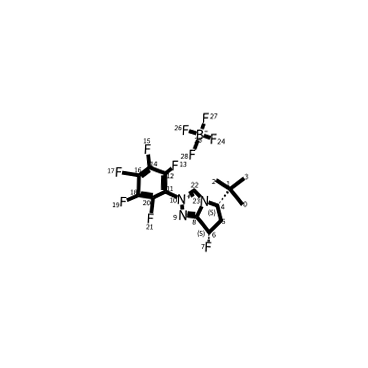 CC(C)(C)[C@@H]1C[C@H](F)c2n[n+](-c3c(F)c(F)c(F)c(F)c3F)cn21.F[B-](F)(F)F